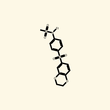 CCN(c1ccc(S(=O)(=O)c2ccc3c(c2)OCCO3)cc1)S(C)(=O)=O